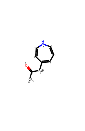 O=C([AsH]C1=CC=CNC=C1)C(F)(F)F